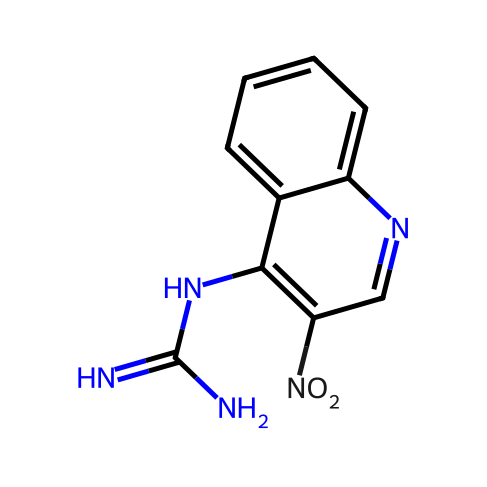 N=C(N)Nc1c([N+](=O)[O-])cnc2ccccc12